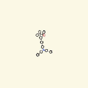 c1ccc(-c2ccc(N(c3ccc(-c4ccccc4)cc3)c3ccc(-c4ccc(-c5ccc6c(c5)-c5oc7ccccc7c5C6(c5ccccc5)c5ccccc5)cc4)cc3)cc2)cc1